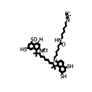 CC[N+]1=C(/C=C/C=C/C=C2\N(CCCCCC(=O)NCCCCCCN=[N+]=[N-])c3ccc4c(S)cc(S)cc4c3C2(C)C)C(C)(C)c2c1ccc1c(S(=O)(=O)O)cc(S)cc21